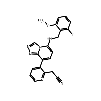 COc1cccc(F)c1CNc1ccc(-c2cccnc2CC#N)c2nncn12